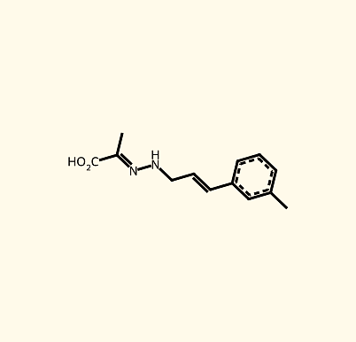 CC(=NNC/C=C/c1cccc(C)c1)C(=O)O